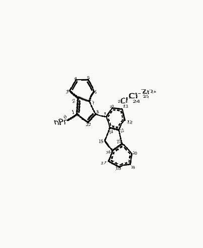 CCCC1=C2C=CC=CC2C(c2cccc3c2Cc2ccccc2-3)=C1.[Cl-].[Cl-].[Zr+2]